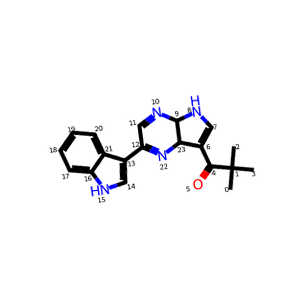 CC(C)(C)C(=O)C1=CNC2N=CC(c3c[nH]c4ccccc34)=NC12